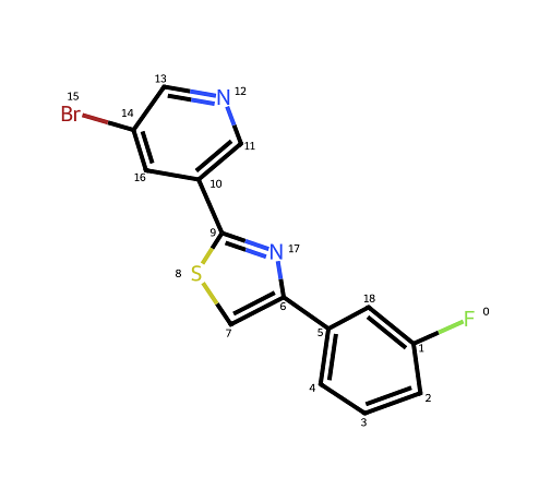 Fc1cccc(-c2csc(-c3cncc(Br)c3)n2)c1